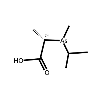 CC(C)[As](C)[C@@H](C)C(=O)O